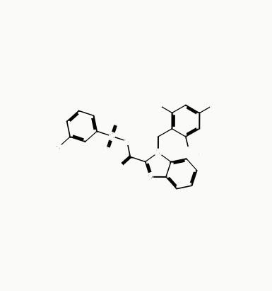 Cc1cc(C)c(Cn2c(C(=O)NS(=O)(=O)c3cccc(N)c3)nc3ccccc32)c(C)c1